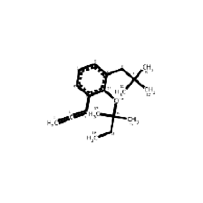 C=C=Cc1cccc(CC(C)(C)C)c1OC(C)(C)CC